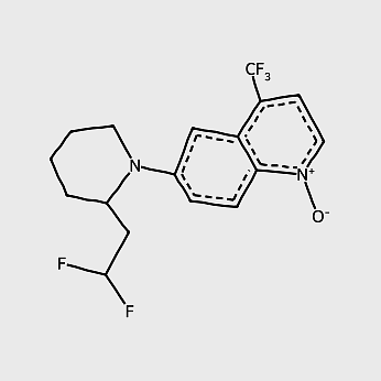 [O-][n+]1ccc(C(F)(F)F)c2cc(N3CCCCC3CC(F)F)ccc21